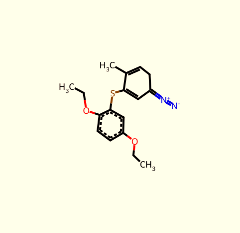 CCOc1ccc(OCC)c(SC2=CC(=[N+]=[N-])CC=C2C)c1